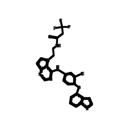 O=C(CC(F)(F)F)NCCn1ccc2ncnc(Nc3ccc(Oc4cccc5sccc45)c(Cl)c3)c21